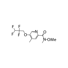 CON(C)C(=O)c1cc(C)c(OCC(F)(F)C(F)F)cn1